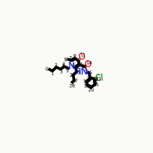 CCCCCCn1c(C)cc(=O)c(C(=O)NCc2ccccc2Cl)c1CCCC